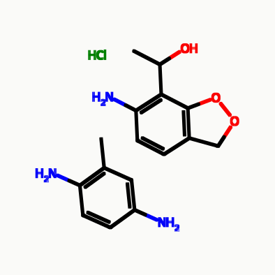 CC(O)c1c(N)ccc2c1OOC2.Cc1cc(N)ccc1N.Cl